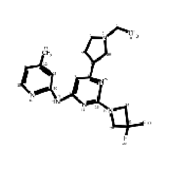 FC(F)(F)CN1CCC(c2cc(Nc3cc(C(F)(F)F)ccn3)nc(N3CC(F)(F)C3)n2)C1